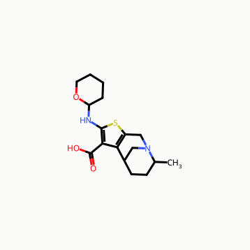 CC1CCC2CN1Cc1sc(NC3CCCCO3)c(C(=O)O)c12